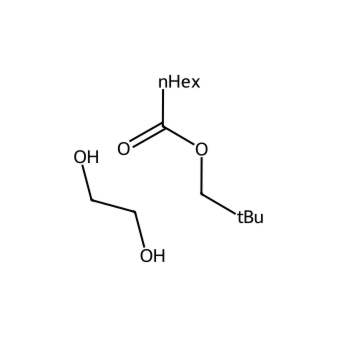 CCCCCCC(=O)OCC(C)(C)C.OCCO